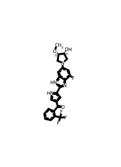 CO[C@H]1CN(c2cc(F)c3nc(-c4cc(C(=O)c5ccccc5C(F)(F)F)c[nH]4)[nH]c3c2)C[C@H]1O